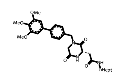 CCCCCCCNC(=O)C[C@@H]1NC(=O)CN(Cc2ccc(-c3cc(OC)c(OC)c(OC)c3)cc2)C1=O